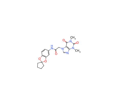 Cn1c(=O)c2c(ncn2CC(=O)Nc2ccc3c(c2)OC2(CCCC2)O3)n(C)c1=O